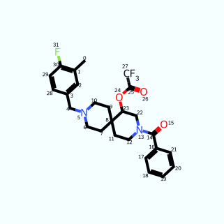 Cc1cc(CN2CCC3(CC2)CCN(C(=O)c2ccccc2)CC3OC(=O)C(F)(F)F)ccc1F